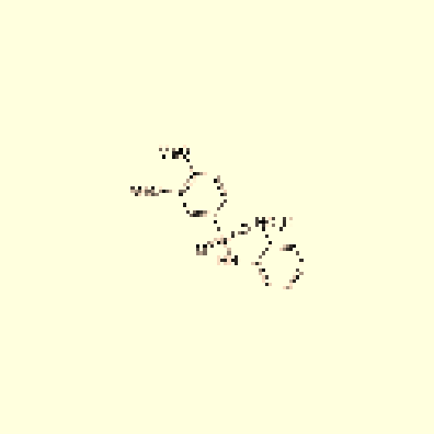 COc1ccc(S(=O)(=O)Nc2ccccc2C(=O)O)cc1OC